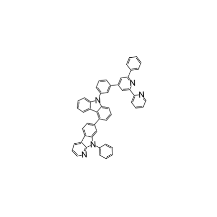 c1ccc(-c2cc(-c3cccc(-n4c5ccccc5c5c(-c6ccc7c8cccnc8n(-c8ccccc8)c7c6)cccc54)c3)cc(-c3ccccn3)n2)cc1